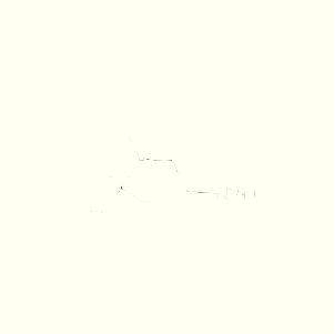 CCCCCCCC(C)C(C)(O)CC